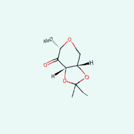 CO[C@@H]1OC[C@@H]2OC(C)(C)O[C@@H]2C1=O